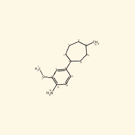 COc1cc(C2CCCC(C)CC2)ccc1N